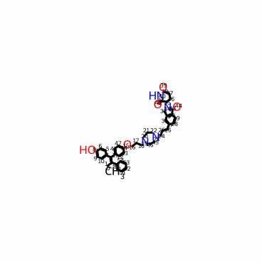 CCC(=C(c1ccc(O)cc1)c1ccc(OCCCN2CCCN(CCCc3ccc4c(c3)CN(C3CCC(=O)NC3=O)C4=O)CC2)cc1)c1ccccc1